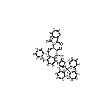 O=C1[C@H](N2C(=O)c3ccccc3C2=O)N=C(c2ccccc2F)c2ccccc2N1Cc1cn(C(c2ccccc2)(c2ccccc2)c2ccccc2)cn1